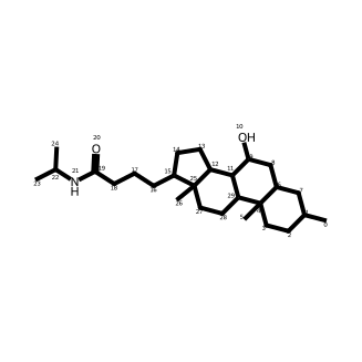 CC1CCC2(C)C(C1)CC(O)C1C3CCC(CCCC(=O)NC(C)C)C3(C)CCC12